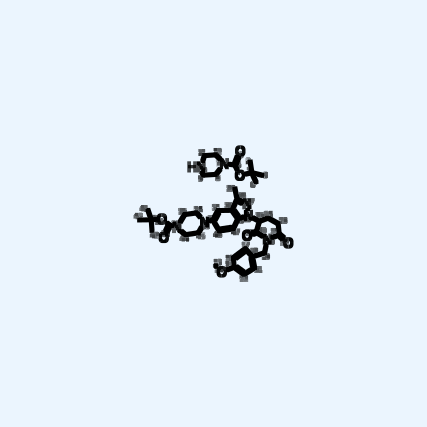 CC(C)(C)OC(=O)N1CCNCC1.COc1ccc(CN2C(=O)CCC(n3nc(C)c4cc(N5CCN(C(=O)OC(C)(C)C)CC5)ccc43)C2=O)cc1